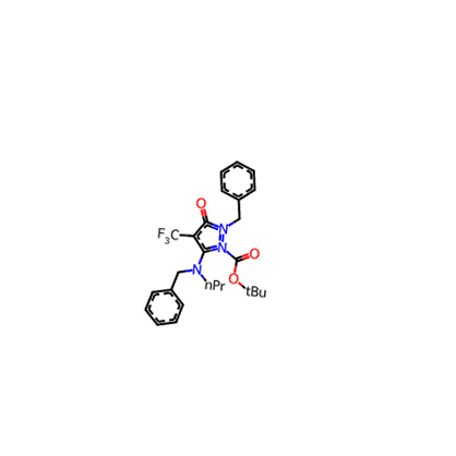 CCCN(Cc1ccccc1)c1c(C(F)(F)F)c(=O)n(Cc2ccccc2)n1C(=O)OC(C)(C)C